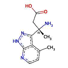 Cc1ccnc2[nH]nc([C@@](C)(N)CC(=O)O)c12